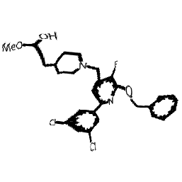 COC(O)CC1CCN(Cc2cc(-c3cc(Cl)cc(Cl)c3)nc(OCc3ccccc3)c2F)CC1